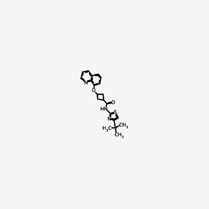 CC(C)(C)c1csc(NC(=O)C2CC(Oc3cccc4cccnc34)C2)n1